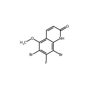 COc1c(Br)c(F)c(Br)c2[nH]c(=O)ccc12